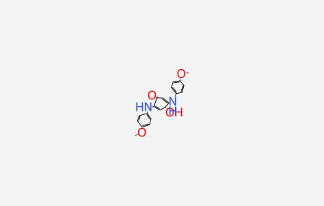 COc1ccc(NC2=CC(O)C(Nc3ccc(OC)cc3)=CC2=O)cc1